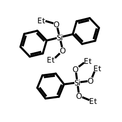 CCO[Si](OCC)(OCC)c1ccccc1.CCO[Si](OCC)(c1ccccc1)c1ccccc1